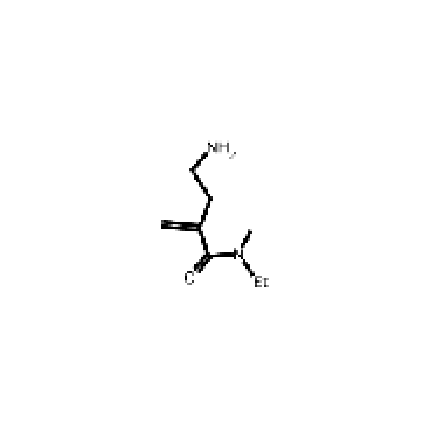 C=C(CCN)C(=O)N(C)CC